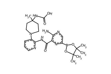 CC1(NC(=O)O)CCN(c2cccnc2NC(=O)c2nc(B3OC(C)(C)C(C)(C)O3)cnc2N)CC1